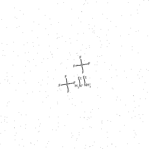 CC[NH3+].CC[NH3+].F[B-](F)(F)F.F[B-](F)(F)F